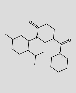 CC1CCC(C(C)C)C(N2CC(C(=O)N3CCCCC3)CCC2=O)C1